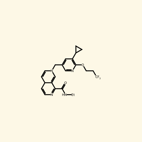 CCNC(=O)C1=NC=CC2C=CN(Cc3cnc(OCCC(F)(F)F)c(C4CC4)c3)C=C12